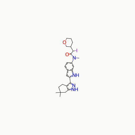 CN(C(=O)C(I)C1CCCOC1)c1ccc2cc(-c3n[nH]c4c3CCC(C)(C)C4)[nH]c2c1